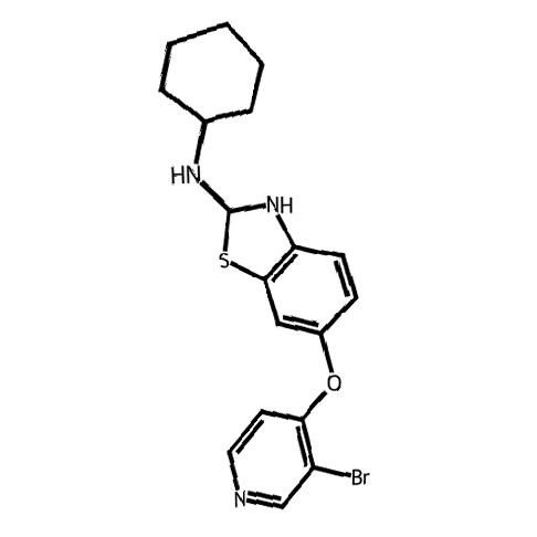 Brc1cnccc1Oc1ccc2c(c1)SC(NC1CCCCC1)N2